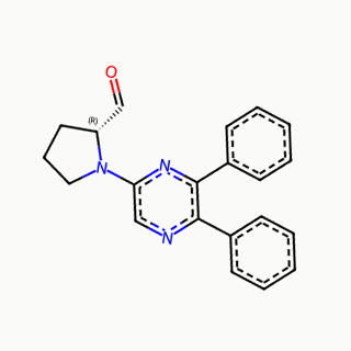 O=C[C@H]1CCCN1c1cnc(-c2ccccc2)c(-c2ccccc2)n1